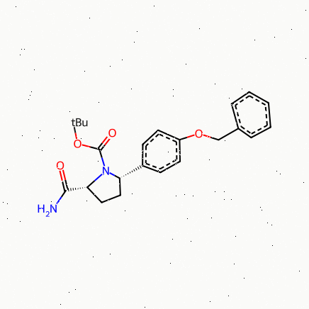 CC(C)(C)OC(=O)N1[C@@H](C(N)=O)CC[C@H]1c1ccc(OCc2ccccc2)cc1